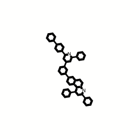 c1ccc(-c2ccc(-c3cc(-c4cccc(-c5ccc6c(ccc7nc(-c8ccccc8)cc(-c8ccccc8)c76)c5)c4)cc(-c4ccccc4)n3)cc2)cc1